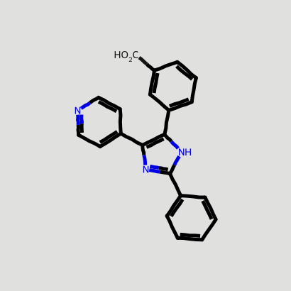 O=C(O)c1cccc(-c2[nH]c(-c3ccccc3)nc2-c2ccncc2)c1